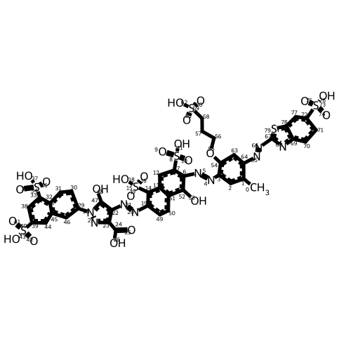 Cc1cc(N=Nc2c(S(=O)(=O)O)cc3c(S(=O)(=O)O)c(N=Nc4c(C(=O)O)nn(-c5ccc6c(S(=O)(=O)O)cc(S(=O)(=O)O)cc6c5)c4O)ccc3c2O)c(OCCCS(=O)(=O)O)cc1N=Nc1nc2ccc(S(=O)(=O)O)cc2s1